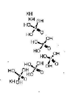 O=P(O)(O)O.O=P(O)(O)O.O=P(O)(O)O.O=P(O)(O)O.O=P(O)(O)O.[KH].[KH].[KH]